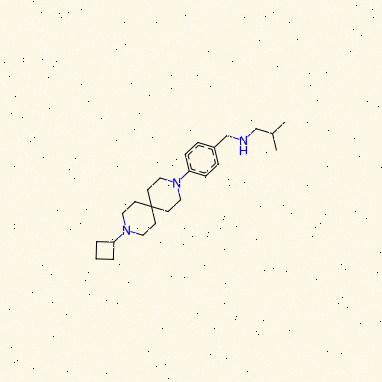 CC(C)CNCc1ccc(N2CCC3(CC2)CCN(C2CCC2)CC3)cc1